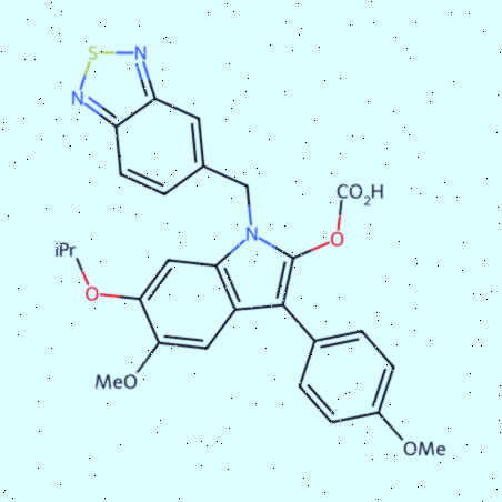 COc1ccc(-c2c(OC(=O)O)n(Cc3ccc4nsnc4c3)c3cc(OC(C)C)c(OC)cc23)cc1